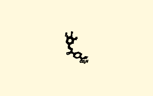 O=C(O)C(Br)C1CCN(C(=O)C=Cc2cc(F)c(F)c(F)c2)CC1